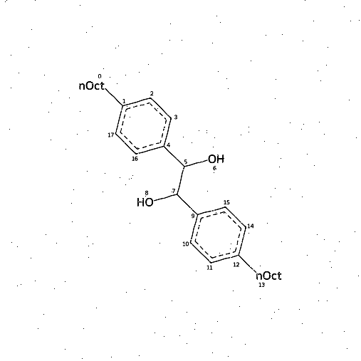 CCCCCCCCc1ccc(C(O)C(O)c2ccc(CCCCCCCC)cc2)cc1